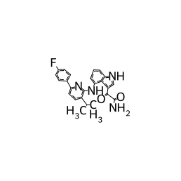 CC(C)c1ccc(-c2ccc(F)cc2)nc1Nc1cccc2[nH]cc(C(=O)C(N)=O)c12